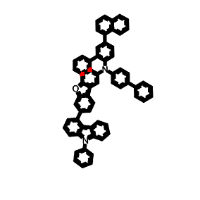 c1ccc(-c2ccc(N(c3ccc4oc5cc(-c6cccc7c6c6ccccc6n7-c6ccccc6)ccc5c4c3)c3ccc(-c4cccc5ccccc45)cc3-c3ccccc3)cc2)cc1